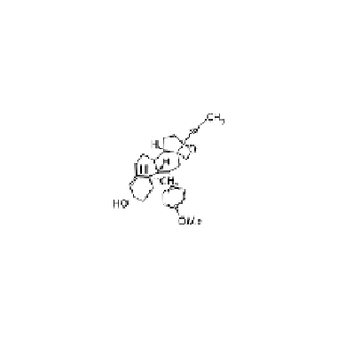 CC#C[C@]12CC[C@H]3[C@@H]4CCC5=C[C@@H](O)CC[C@]5(C)[C@H]4[C@@H](c4ccc(OC)cc4)C[C@@]31CO2